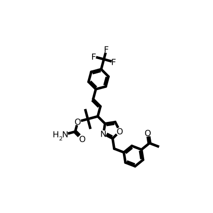 CC(=O)c1cccc(Cc2nc(C(C=Cc3ccc(C(F)(F)F)cc3)C(C)(C)OC(N)=O)co2)c1